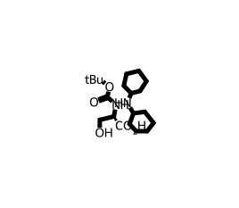 C1CCC(NC2CCCCC2)CC1.CC(C)(C)OC(=O)N[C@H](CO)C(=O)O